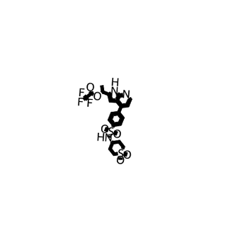 CC(OC(=O)C(F)(F)F)c1cc2c(-c3ccc(S(=O)(=O)NC4CCS(=O)(=O)CC4)cc3)ccnc2[nH]1